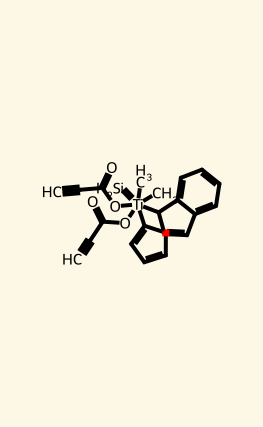 C#CC(=O)[O][Ti]([CH3])([CH3])(=[SiH2])([O]C(=O)C#C)([C]1=CC=CC1)[CH]1C=Cc2ccccc21